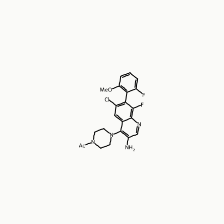 COc1cccc(F)c1-c1c(Cl)cc2c(N3CCN(C(C)=O)CC3)c(N)cnc2c1F